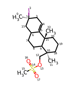 C[C@]1(I)CC=C2C(CCC3[C@](C)(COS(C)(=O)=O)CCC[C@@]23C)C1